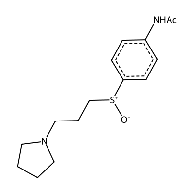 CC(=O)Nc1ccc([S+]([O-])CCCN2CCCC2)cc1